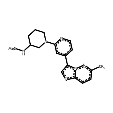 CSNC1CCCN(c2cc(-c3cnc4ccc(C(F)(F)F)nn34)ccn2)C1